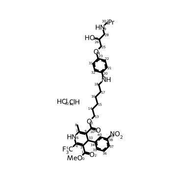 COC(=O)C1=C(C(F)(F)F)NC(C)=C(C(=O)OCCCCCCNc2ccc(OCC(O)CNC(C)C)cc2)C1c1cccc([N+](=O)[O-])c1.Cl.Cl